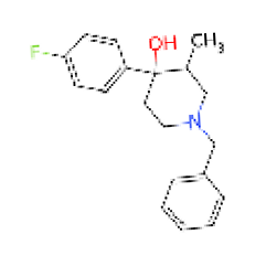 CC1CN(Cc2ccccc2)CCC1(O)c1ccc(F)cc1